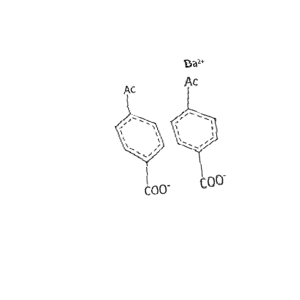 CC(=O)c1ccc(C(=O)[O-])cc1.CC(=O)c1ccc(C(=O)[O-])cc1.[Ba+2]